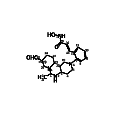 CC(NC1CCN(c2ccccc2C=CC(=O)NO)CC1)N1CCC[C@H](C=O)C1